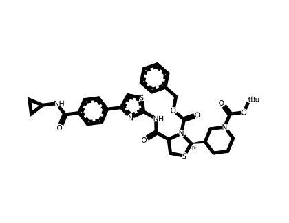 CC(C)(C)OC(=O)N1CCCC([C@H]2SCC(C(=O)Nc3nc(-c4ccc(C(=O)NC5CC5)cc4)cs3)N2C(=O)OCc2ccccc2)C1